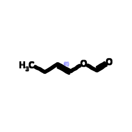 CC/C=C/OC=O